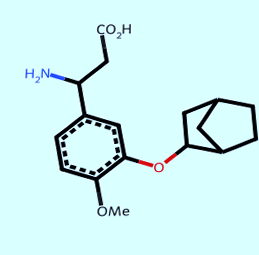 COc1ccc(C(N)CC(=O)O)cc1OC1CC2CCC1C2